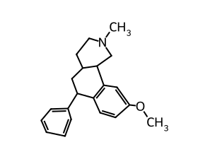 COc1ccc2c(c1)C1CN(C)CCC1CC2c1ccccc1